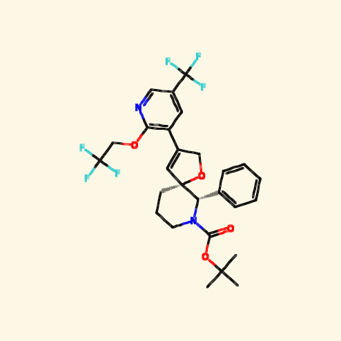 CC(C)(C)OC(=O)N1CCC[C@@]2(C=C(c3cc(C(F)(F)F)cnc3OCC(F)(F)F)CO2)[C@@H]1c1ccccc1